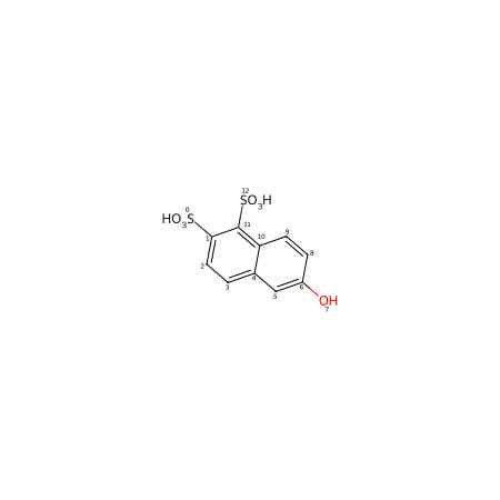 O=S(=O)(O)c1ccc2cc(O)ccc2c1S(=O)(=O)O